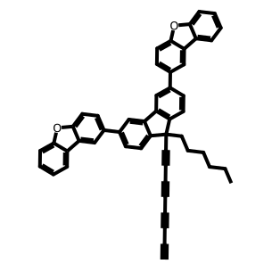 C#CC#CC#CC#CC1(CCCCCC)c2ccc(-c3ccc4oc5ccccc5c4c3)cc2-c2cc(-c3ccc4oc5ccccc5c4c3)ccc21